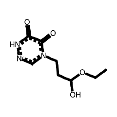 CCOC(O)CCn1[c]n[nH]c(=O)c1=O